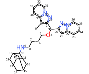 Cc1c(C(OCCCCNC2C3CC4CC(C3)CC2C4)c2cc3ccccn3n2)nn2ccccc12